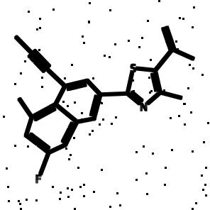 C=C(C)c1sc(-c2cc(C#CC)c3c(C)cc(F)cc3c2)nc1C